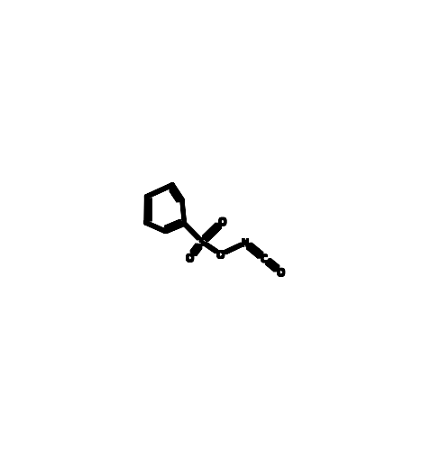 O=C=NOS(=O)(=O)c1ccccc1